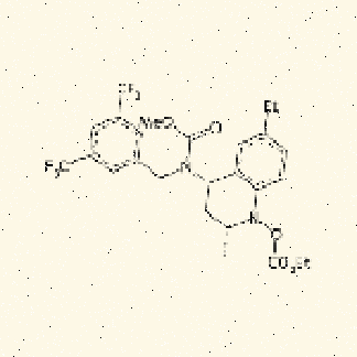 CCOC(=O)ON1c2ccc(CC)cc2[C@@H](N(Cc2cc(C(F)(F)F)cc(C(F)(F)F)c2)C(=O)OC)C[C@H]1C